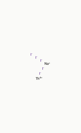 [I-].[I-].[I-].[I-].[I-].[Na+].[Th+4]